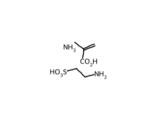 C=C(C)C(=O)O.N.NCCS(=O)(=O)O